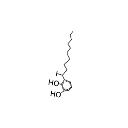 CCCCCCCCCC(I)c1cccc(O)c1O